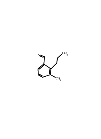 CCCc1c(C)cccc1C=S